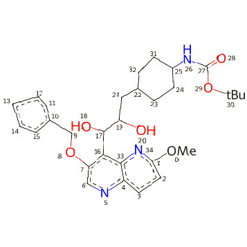 COc1ccc2ncc(OCc3ccccc3)c(C(O)C(O)CC3CCC(NC(=O)OC(C)(C)C)CC3)c2n1